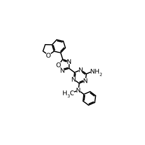 CN(c1ccccc1)c1nc(N)nc(-c2noc(-c3cccc4c3OCC4)n2)n1